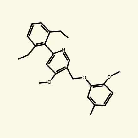 CCc1cccc(CC)c1-c1cc(OC)c(COc2cc(C)ccc2OC)cn1